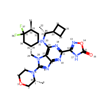 C[C@@H]1COCCN1c1nc2nc(-c3noc(=O)[nH]3)nc(N[C@H](C)C3CCC3)c2n1C[C@H]1CC[C@H](C)C(F)(F)C1